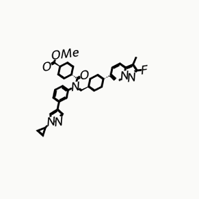 C=C(/C=C\c1c(C)c(F)nn1C)[C@H]1CC[C@H](CN(c2cccc(-c3cnn(C4CC4)c3)c2)C(=O)[C@H]2CC[C@H](C(=O)OC)CC2)CC1